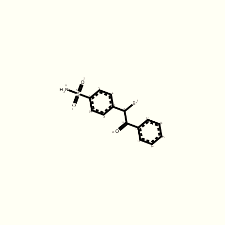 NS(=O)(=O)c1ccc(C(Br)C(=O)c2ccccc2)cc1